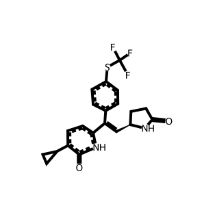 O=C1CC[C@H](/C=C(\c2ccc(SC(F)(F)F)cc2)c2ccc(C3CC3)c(=O)[nH]2)N1